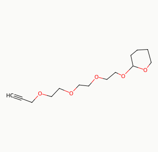 C#CCOCCOCCOCCOC1CCCCO1